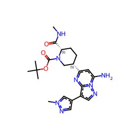 CNC(=O)[C@@H]1CC[C@H](c2cc(N)n3ncc(-c4cnn(C)c4)c3n2)CN1C(=O)OC(C)(C)C